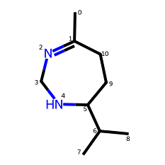 CC1=NCNC(C(C)C)CC1